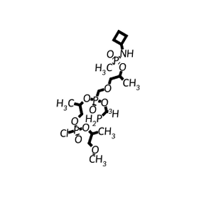 [3H]C(P)OP(=O)(COCC(C)OP(C)(=O)NC1CCC1)OC(C)COP(=O)(Cl)OC(C)COC